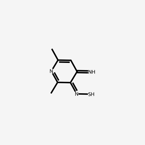 CC1=CC(=N)/C(=N\S)C(C)=N1